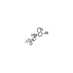 CC(C)(C)OC(=O)N1CC[C@H](Nc2ccc(C#N)c3ncccc23)C1